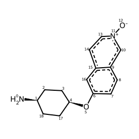 N[C@H]1CC[C@@H](Oc2ccc3c[n+]([O-])ccc3c2)CC1